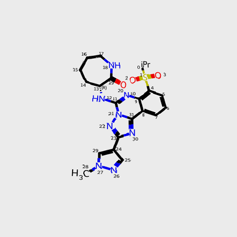 CC(C)S(=O)(=O)c1cccc2c1nc(N[C@@H]1CCCCNC1=O)n1nc(-c3cnn(C)c3)nc21